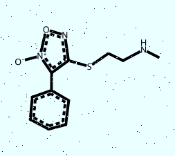 CNCCSc1no[n+]([O-])c1-c1ccccc1